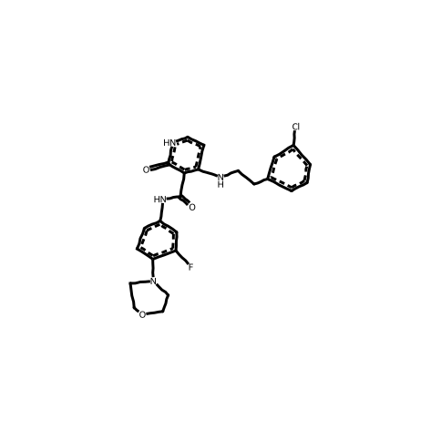 O=C(Nc1ccc(N2CCOCC2)c(F)c1)c1c(NCCc2cccc(Cl)c2)cc[nH]c1=O